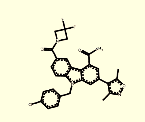 Cc1noc(C)c1-c1cc(C(N)=O)c2c3cc(C(=O)N4CC(F)(F)C4)ccc3n(Cc3ccc(Cl)cc3)c2c1